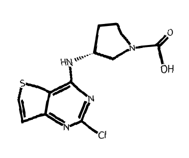 O=C(O)N1CC[C@@H](Nc2nc(Cl)nc3ccsc23)C1